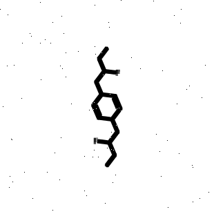 CCC(F)CC1C=CC(CC(F)CC)C=C1